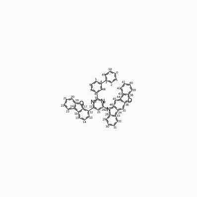 c1ccc(-c2cccc(-c3nc(-c4cccc5c4oc4ccccc45)cc(-n4c5ccccc5c5cc6oc7ccccc7c6cc54)n3)c2)cc1